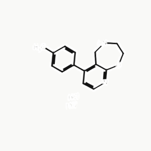 Cc1ccc(-c2ccnc3c2CNCCO3)cc1.Cl.Cl